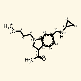 COCCCN1CC(C(C)=O)c2ccc(CNC3CC3)cc21